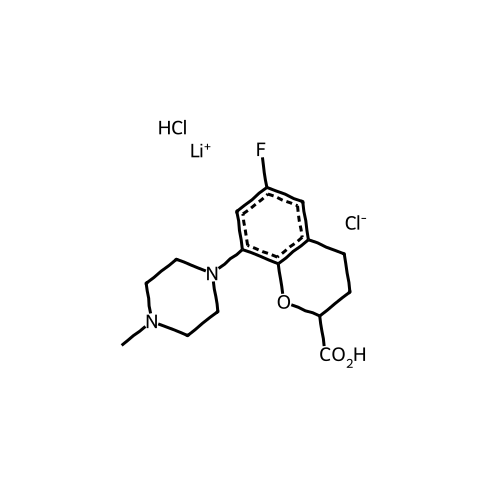 CN1CCN(c2cc(F)cc3c2OC(C(=O)O)CC3)CC1.Cl.[Cl-].[Li+]